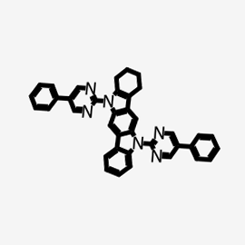 c1ccc(-c2cnc(-n3c4c(c5cc6c(cc53)c3ccccc3n6-c3ncc(-c5ccccc5)cn3)CCCC4)nc2)cc1